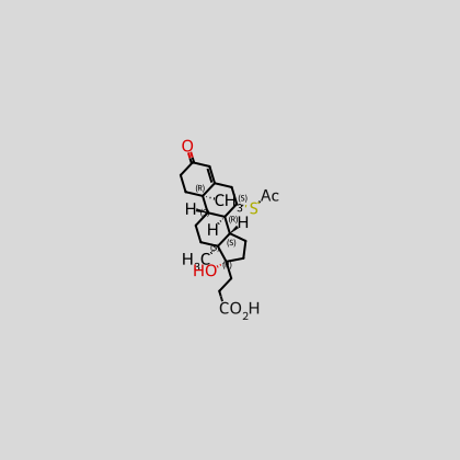 CC(=O)S[C@H]1CC2=CC(=O)CC[C@]2(C)[C@H]2CC[C@@]3(C)[C@@H](CC[C@@]3(O)CCC(=O)O)[C@H]12